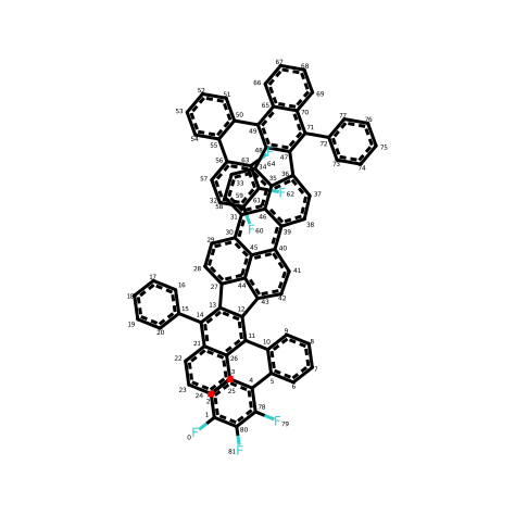 Fc1ccc(-c2ccccc2-c2c3c(c(-c4ccccc4)c4ccccc24)-c2ccc4c5ccc6c7c(ccc(c8ccc-3c2c48)c75)-c2c-6c(-c3ccccc3-c3ccc(F)c(F)c3F)c3ccccc3c2-c2ccccc2)c(F)c1F